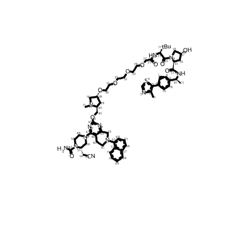 Cc1ncsc1-c1ccc([C@H](C)NC(=O)[C@@H]2C[C@@H](O)CN2C(=O)[C@@H](NC(=O)COCCOCCOCCO[C@@H]2C[C@@H](COc3nc4c(c(N5CCN(C(N)=O)[C@@H](CC#N)C5)n3)CCN(c3cccc5ccccc35)C4)N(C)C2)C(C)(C)C)cc1